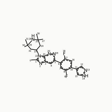 Cc1nc2cc(-c3cc(F)c(-c4cn[nH]c4)cc3F)nnc2n1C1CC(C)(C)NC(C)(C)C1